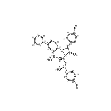 O=C1C(CC[C@H](O)c2ccc(F)cc2)C(c2ccc(-c3ccccc3)cc2B(O)O)N1c1ccc(F)cc1